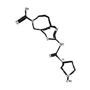 CC(C)C(=O)N1CCc2nc(NC(=O)[C@H]3CCN(C#N)C3)sc2C1